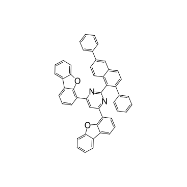 c1ccc(-c2ccc3c(-c4nc(-c5cccc6c5oc5ccccc56)cc(-c5cccc6c5oc5ccccc56)n4)c(-c4ccccc4)ccc3c2)cc1